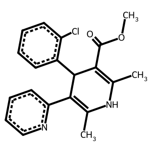 COC(=O)C1=C(C)NC(C)=C(c2ccccn2)C1c1ccccc1Cl